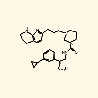 O=C(NC[C@@H](C(=O)O)c1cccc(C2CC2)c1)[C@@H]1CCCN(CCCc2ccc3c(n2)NCCC3)C1